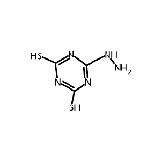 NNc1nc(S)nc(S)n1